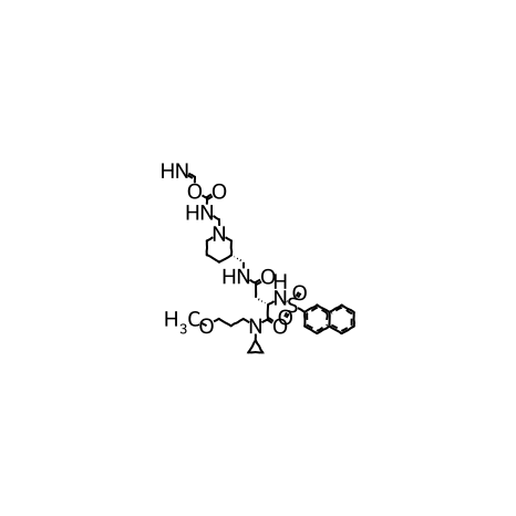 COCCCN(C(=O)[C@H](CC(=O)NC[C@@H]1CCCN(CNC(=O)OC=N)C1)NS(=O)(=O)c1ccc2ccccc2c1)C1CC1